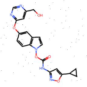 O=C(Nc1cc(C2CC2)on1)On1ccc2cc(Oc3cc(CO)ncn3)ccc21